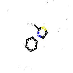 O=S(=O)(O)c1nccs1.c1ccccc1